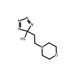 SC1(CCN2CCOCC2)N=NN=N1